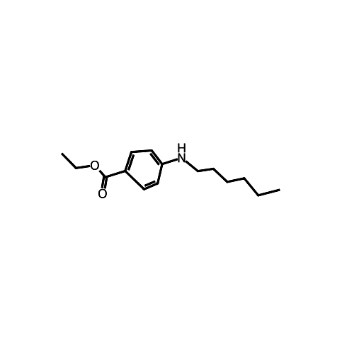 CCCCCCNc1ccc(C(=O)OCC)cc1